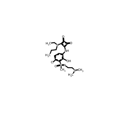 CCCN(CC)c1c(Nc2ccc(Cl)c(S(C)(=O)=NCCN(C)C)c2O)c(=O)c1=O